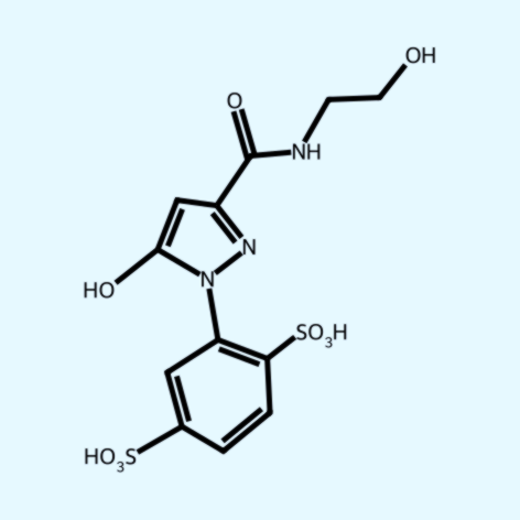 O=C(NCCO)c1cc(O)n(-c2cc(S(=O)(=O)O)ccc2S(=O)(=O)O)n1